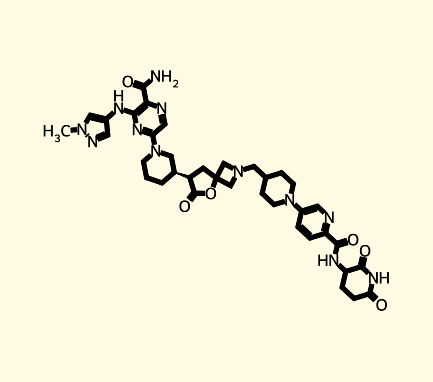 Cn1cc(Nc2nc(N3CCC[C@H](C4CC5(CN(CC6CCN(c7ccc(C(=O)NC8CCC(=O)NC8=O)nc7)CC6)C5)OC4=O)C3)cnc2C(N)=O)cn1